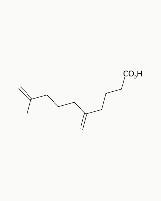 C=C(C)CCCC(=C)CCCC(=O)O